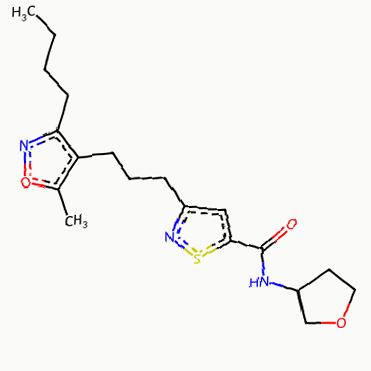 CCCCc1noc(C)c1CCCc1cc(C(=O)NC2CCOC2)sn1